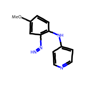 COc1ccc(Nc2ccncc2)c(N=N)c1